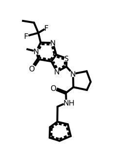 CCC(F)(F)c1nc2sc(N3CCCC3C(=O)NCc3ccccc3)nc2c(=O)n1C